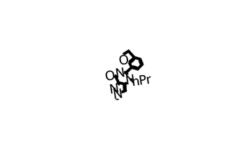 CCCN1c2cn(C)nc2C(=O)[N]C1c1cccc2c1OCC2